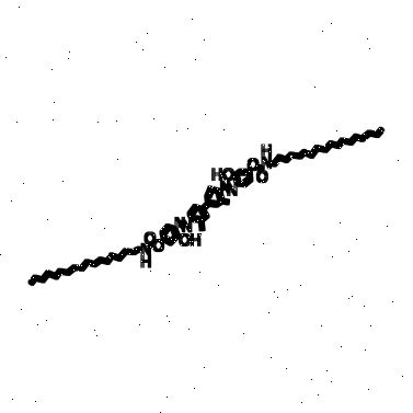 CCCCCCCCCCCCCCCCCCNC(=O)Oc1ccc(/N=N/c2ccc(-c3ccc(/N=N/c4ccc(OC(=O)NCCCCCCCCCCCCCCCCCC)cc4O)c(C)c3)cc2C)c(O)c1